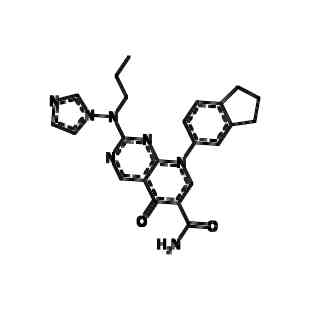 CCCN(c1ncc2c(=O)c(C(N)=O)cn(-c3ccc4c(c3)CCC4)c2n1)n1ccnc1